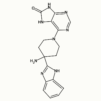 NC1(c2nc3ccccc3[nH]2)CCN(c2ncnc3[nH]c(=O)[nH]c23)CC1